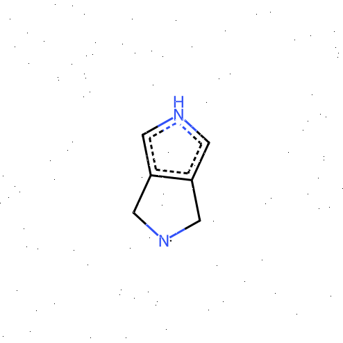 c1[nH]cc2c1C[N]C2